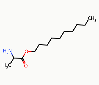 CCCCCCCCCCOC(=O)C(C)N